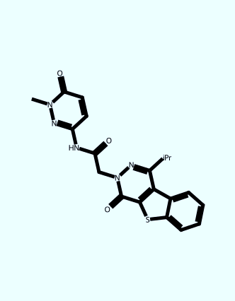 CC(C)c1nn(CC(=O)Nc2ccc(=O)n(C)n2)c(=O)c2sc3ccccc3c12